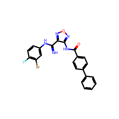 N=C(Nc1ccc(F)c(Br)c1)c1nonc1NC(=O)c1ccc(-c2ccccc2)cc1